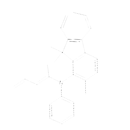 C=C/C=C(\C)N(c1ccccc1)c1c(C)ccc2c1C(C)(C)C(C=C)=C2/C=C\C